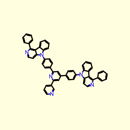 c1ccc(-c2nccc3c2c2ccccc2n3-c2ccc(-c3cc(-c4ccc(-n5c6ccccc6c6c(-c7ccccc7)nccc65)cc4)nc(-c4cccnc4)c3)cc2)cc1